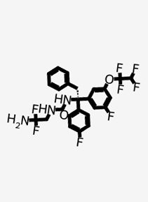 NC(F)(F)CNC(=O)N[C@](Cc1ccccc1)(c1ccc(F)cc1)c1cc(F)cc(OC(F)(F)C(F)F)c1